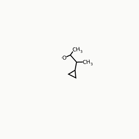 CC([O])C(C)C1CC1